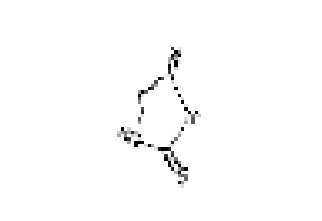 S=C1CNC(=S)[N]1